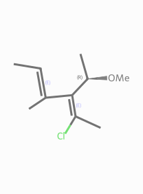 C/C=C(C)/C(=C(/C)Cl)[C@@H](C)OC